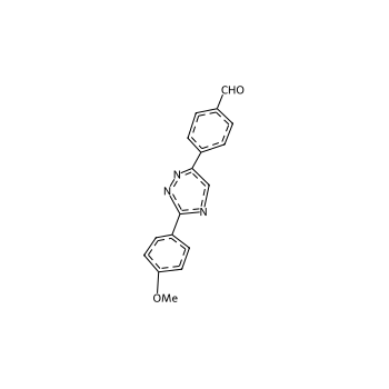 COc1ccc(-c2ncc(-c3ccc(C=O)cc3)nn2)cc1